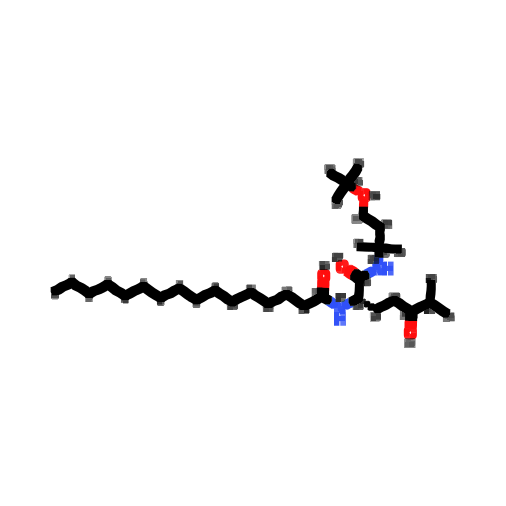 CCCCCCCCCCCCCCCC(=O)N[C@@H](CCC(=O)C(C)C)C(=O)NC(C)(C)CCOC(C)(C)C